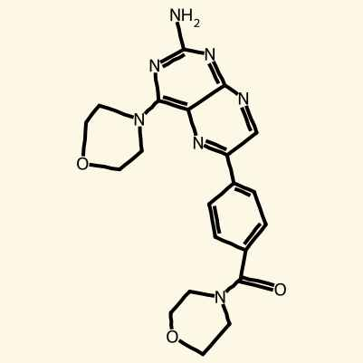 Nc1nc(N2CCOCC2)c2nc(-c3ccc(C(=O)N4CCOCC4)cc3)cnc2n1